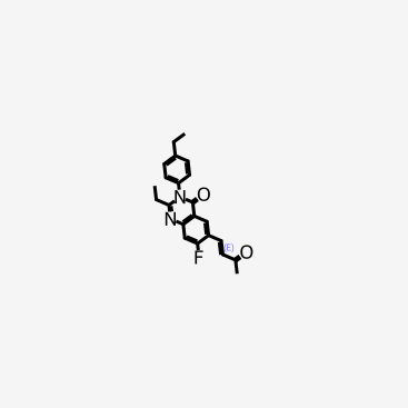 CCc1ccc(-n2c(CC)nc3cc(F)c(/C=C/C(C)=O)cc3c2=O)cc1